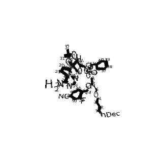 CCCCCCCCCCCCCCOC[C@H](COP(=O)(OC[C@@]1(C)OC[C@@]2(c3ccc4c(N)ncnn34)OC(C)(C)O[C@H]12)Oc1ccccc1Cl)OCc1ccc(C#N)cc1F